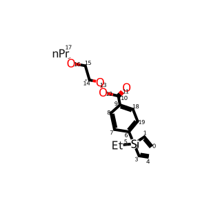 C=C[Si](C=C)(CC)c1ccc(C(=O)OO[CH]COCCC)cc1